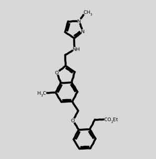 CCOC(=O)Cc1ccccc1OCc1cc(C)c2oc(CNc3ccn(C)n3)cc2c1